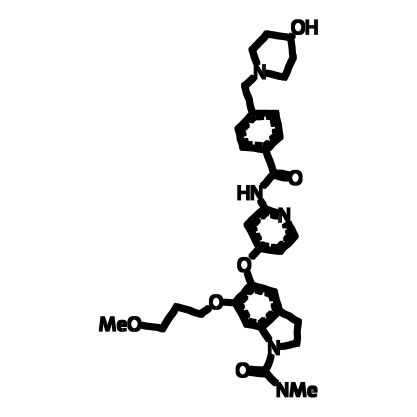 CNC(=O)N1CCc2cc(Oc3ccnc(NC(=O)c4ccc(CN5CCC(O)CC5)cc4)c3)c(OCCCOC)cc21